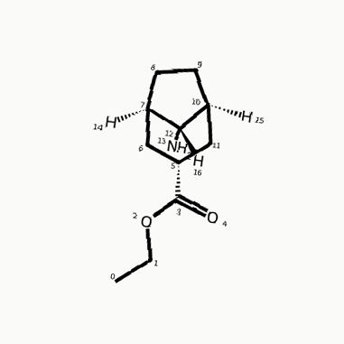 CCOC(=O)[C@@H]1C[C@H]2CC[C@@H](C1)[C@@H]2N